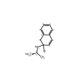 C[C@H](NC1(Br)C=Cc2ccccc2C1)C(=O)O